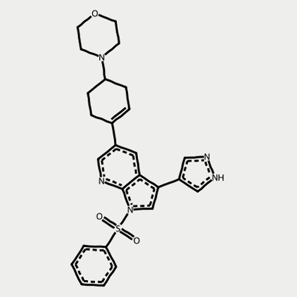 O=S(=O)(c1ccccc1)n1cc(-c2cn[nH]c2)c2cc(C3=CCC(N4CCOCC4)CC3)cnc21